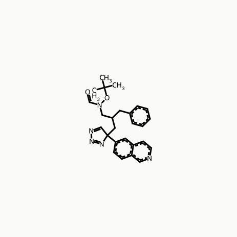 CC(C)(C)ON(C=O)CC(Cc1ccccc1)CC1(c2ccc3cnccc3c2)C=NN=N1